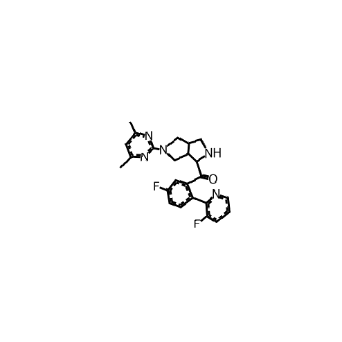 Cc1cc(C)nc(N2CC3CNC(C(=O)c4cc(F)ccc4-c4ncccc4F)C3C2)n1